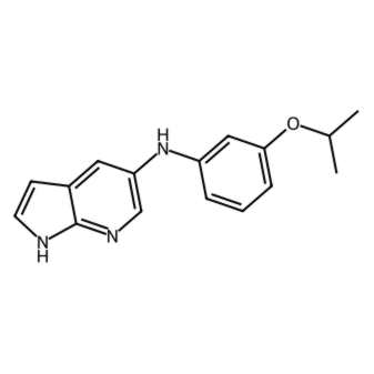 CC(C)Oc1cccc(Nc2cnc3[nH]ccc3c2)c1